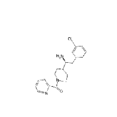 N[C@@H](Cc1cccc(Cl)c1)C1CCN(C(=O)c2ncccn2)CC1